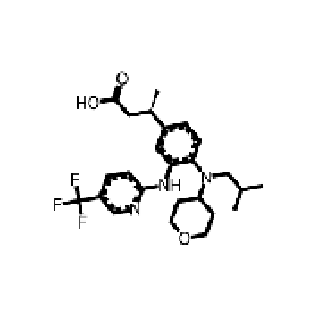 CC(C)CN(c1ccc([C@H](C)CC(=O)O)cc1Nc1ccc(C(F)(F)F)cn1)C1CCOCC1